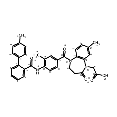 Cc1ccc(-c2ccccc2C(=O)Nc2ccc(C(=O)N3CCC(=O)N(CC(=O)O)c4cc(C)ccc43)cc2C)cc1